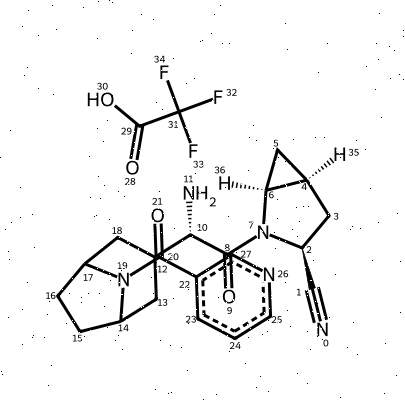 N#C[C@@H]1C[C@@H]2C[C@@H]2N1C(=O)[C@@H](N)C1CC2CCC(C1)N2C(=O)c1cccnc1.O=C(O)C(F)(F)F